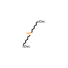 CCCCCCCCCCCCCCCCPCCCCCCCCCCCCCCCC